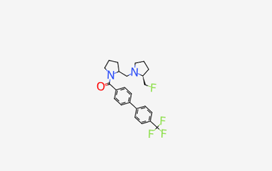 O=C(c1ccc(-c2ccc(C(F)(F)F)cc2)cc1)N1CCCC1CN1CCC[C@H]1CF